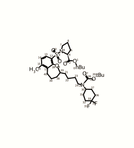 CCCCOC(=O)[C@@H]1CCCN1S(=O)(=O)c1ccc(C)c2c1OC(CCCCN(C(=O)OC(C)(C)C)C1CCC(F)(F)CC1)CCC2